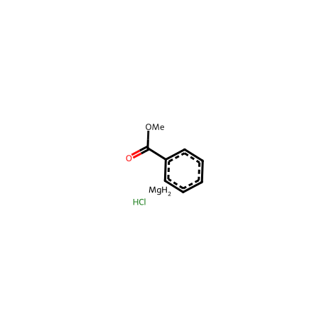 COC(=O)c1ccccc1.Cl.[MgH2]